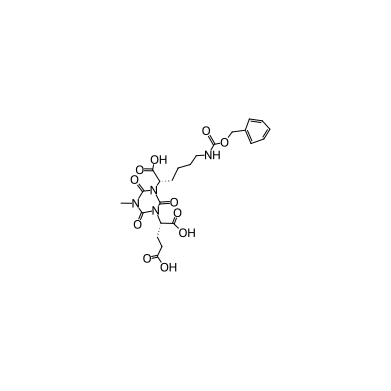 Cn1c(=O)n([C@@H](CCCCNC(=O)OCc2ccccc2)C(=O)O)c(=O)n([C@@H](CCC(=O)O)C(=O)O)c1=O